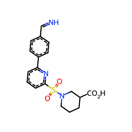 N=Cc1ccc(-c2cccc(S(=O)(=O)N3CCCC(C(=O)O)C3)n2)cc1